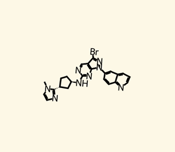 Cn1ccnc1[C@@H]1CC[C@@H](Nc2ncc3c(Br)nn(-c4ccc5ncccc5c4)c3n2)C1